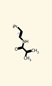 C=C(C)C(=O)N/C=C/C(C)C